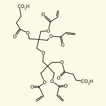 C=CC(=O)OCC(COCC(COC(=O)C=C)(COC(=O)C=C)COC(=O)CCC(=O)O)(COC(=O)C=C)COC(=O)CCC(=O)O